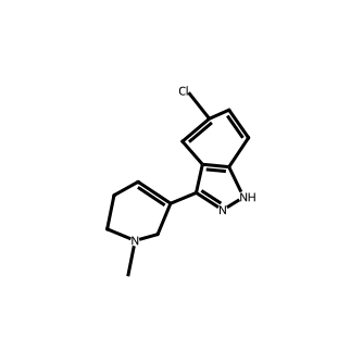 CN1CCC=C(c2n[nH]c3ccc(Cl)cc23)C1